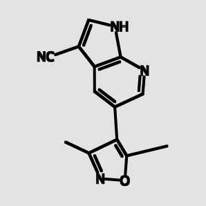 Cc1noc(C)c1-c1cnc2[nH]cc(C#N)c2c1